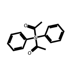 CC(=O)[Si](C(C)=O)(c1ccccc1)c1ccccc1